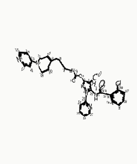 Cc1c(OC(=O)NCCC2CCN(c3ccncc3)CC2)nn(-c2ccccn2)c1NC(=O)c1ccccc1Cl